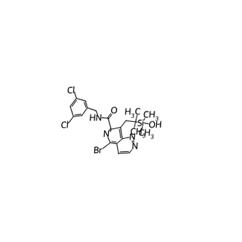 CC(C)(Cc1c(C(=O)NCc2cc(Cl)cc(Cl)c2)nc(Br)c2ccnnc12)[Si](C)(C)O